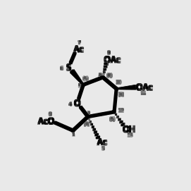 CC(=O)OC[C@@]1(C(C)=O)O[C@@H](SC(C)=O)[C@H](OC(C)=O)[C@@H](OC(C)=O)[C@@H]1O